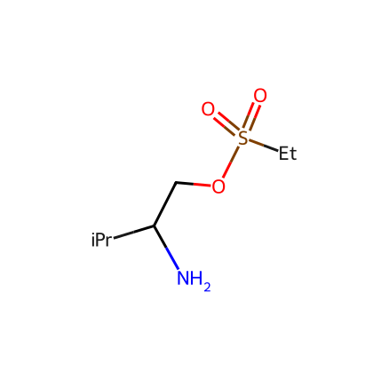 CCS(=O)(=O)OCC(N)C(C)C